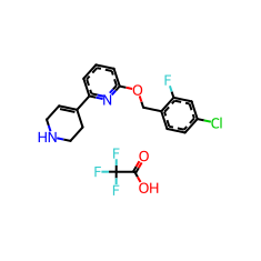 Fc1cc(Cl)ccc1COc1cccc(C2=CCNCC2)n1.O=C(O)C(F)(F)F